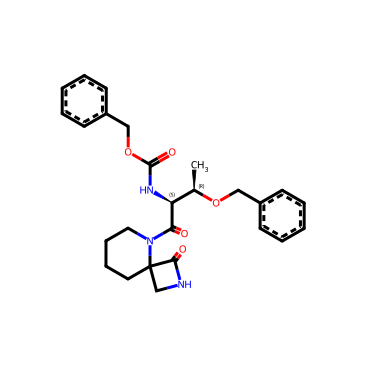 C[C@@H](OCc1ccccc1)[C@H](NC(=O)OCc1ccccc1)C(=O)N1CCCCC12CNC2=O